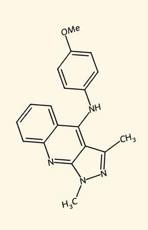 COc1ccc(Nc2c3ccccc3nc3c2c(C)nn3C)cc1